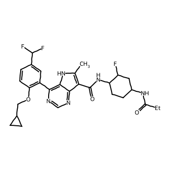 CCC(=O)NC1CCC(NC(=O)c2c(C)[nH]c3c(-c4cc(C(F)F)ccc4OCC4CC4)ncnc23)C(F)C1